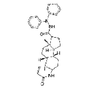 C[C@]12C=CC(=O)NC1CC[C@@H]1[C@H]2CC[C@]2(C)C(C(=O)NN(c3ccccc3)c3ccccc3)CC[C@@H]12